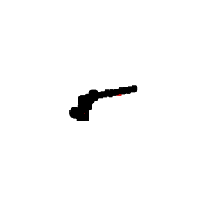 CCCCCCCCCCCCCCCCCCOc1ccc(S(=O)(=O)CCSc2nnnn2-c2ccccc2)cc1